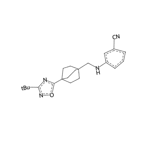 CC(C)(C)c1noc(C23CCC(CNc4cccc(C#N)c4)(CC2)CC3)n1